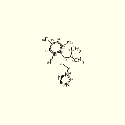 CC(C)[C@H](CCn1cncn1)c1c(F)cc(F)cc1F